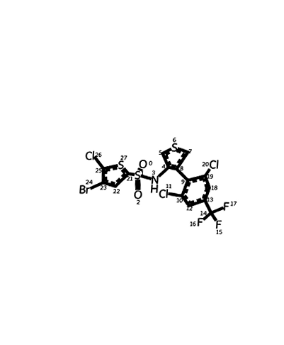 O=S(=O)(Nc1cscc1-c1c(Cl)cc(C(F)(F)F)cc1Cl)c1cc(Br)c(Cl)s1